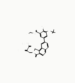 C=C(CN1Cc2c(ccc3ccc(-c4cc(OC(F)(F)F)c(N)c(C(=O)NCC)c4)cc23)C1=O)C(N)=O